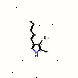 CC=CC=Cc1c[nH]c(C)c1C.[Ru]